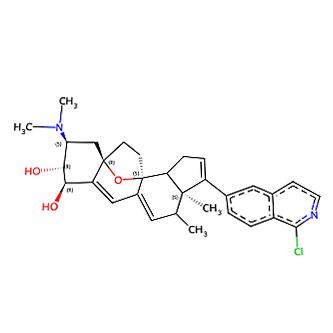 CC1C=C2C=C3[C@@H](O)[C@H](O)[C@@H](N(C)C)C[C@]34CC[C@]2(O4)C2CC=C(c3ccc4c(Cl)nccc4c3)[C@@]12C